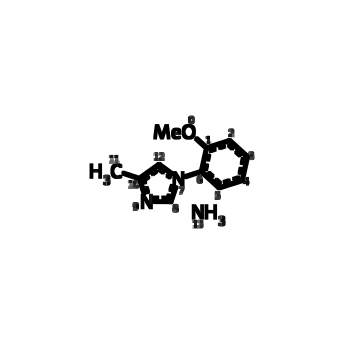 COc1ccccc1-n1cnc(C)c1.N